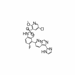 COc1ncc(Cl)cc1S(=O)(=O)Nc1ccc(F)c(-c2ccc3c(-c4ncc[nH]4)ncn3n2)c1F